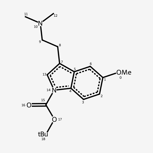 COc1ccc2c(c1)c(CCN(C)C)cn2C(=O)OC(C)(C)C